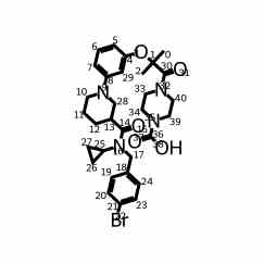 CC(C)(Oc1cccc(N2CCCC(C(=O)N(Cc3ccc(Br)cc3)C3CC3)C2)c1)C(=O)N1CCN(C(=O)O)CC1